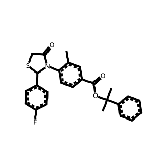 Cc1cc(C(=O)OC(C)(C)c2ccccc2)ccc1N1C(=O)CSC1c1ccc(F)cc1